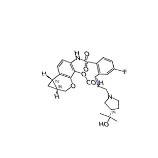 CC(C)(O)[C@H]1CCN(C/C=C\c2cc(F)ccc2S(=O)(=O)Nc2ccc3c(c2OC(=O)O)OC[C@@H]2C[C@H]32)C1